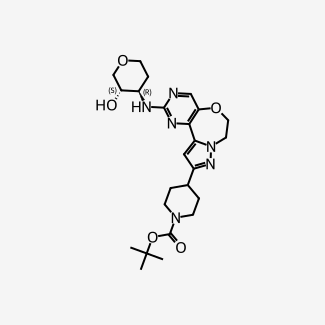 CC(C)(C)OC(=O)N1CCC(c2cc3n(n2)CCOc2cnc(N[C@@H]4CCOC[C@H]4O)nc2-3)CC1